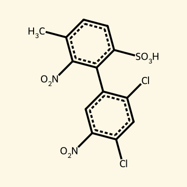 Cc1ccc(S(=O)(=O)O)c(-c2cc([N+](=O)[O-])c(Cl)cc2Cl)c1[N+](=O)[O-]